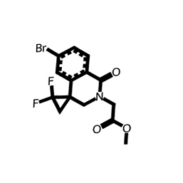 COC(=O)CN1CC2(CC2(F)F)c2cc(Br)ccc2C1=O